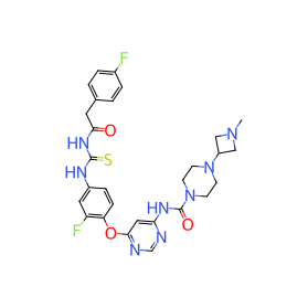 CN1CC(N2CCN(C(=O)Nc3cc(Oc4ccc(NC(=S)NC(=O)Cc5ccc(F)cc5)cc4F)ncn3)CC2)C1